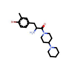 Cc1cc(CC(N)C(=O)N2CCC(N3CCCCC3)CC2)ccc1Br